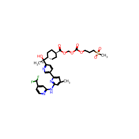 Cc1cc(Nc2cc(C(F)F)ccn2)nc(-c2ccc([C@](C)(O)[C@H]3CC[C@H](C(=O)OCOC(=O)OCCCS(C)(=O)=O)CC3)nc2)c1